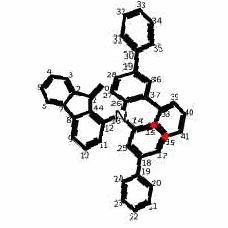 C=C1c2ccccc2-c2cccc(N(c3cccc(-c4ccccc4)c3)c3ccc(-c4ccccc4)cc3-c3ccccc3)c21